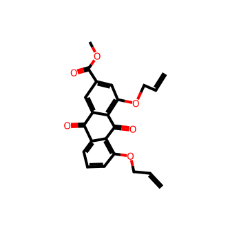 C=CCOc1cccc2c1C(=O)c1c(OCC=C)cc(C(=O)OC)cc1C2=O